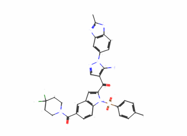 Cc1ccc(S(=O)(=O)n2c(C(=O)c3cnn(-c4ccc5[nH]c(C)nc5c4)c3N)cc3cc(C(=O)N4CCC(F)(F)CC4)ccc32)cc1